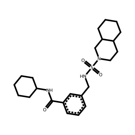 O=C(NC1CCCCC1)c1cccc(CNS(=O)(=O)N2CCC3CCCCC3C2)c1